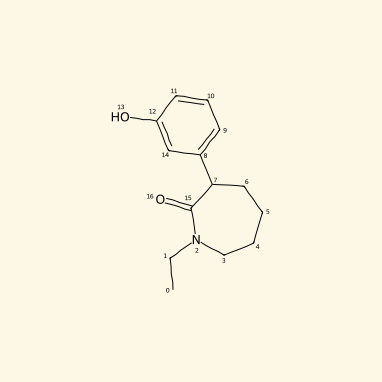 CCN1CCCCC(c2cccc(O)c2)C1=O